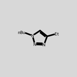 [CH2]Cc1cn(CCCC)nn1